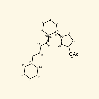 CC(=O)OC1CCN([C@@H]2CCCC[C@@H]2OCCCC2CCCCC2)C1